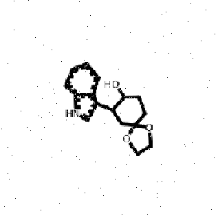 OC1CCC2(CC1c1c[nH]c3ccccc13)OCCO2